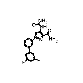 NC(=O)Nc1cn(-c2cccc(-c3cc(F)cc(F)c3)c2)nc1C(N)=O